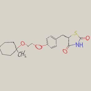 CC1(OCCOc2ccc(CC3SC(=O)NC3=O)cc2)CCCCC1